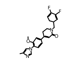 COc1cc(C2=CC(=O)N(CC3C=C(F)C(F)=CC3)CC2)ccc1-n1cnc(C)c1